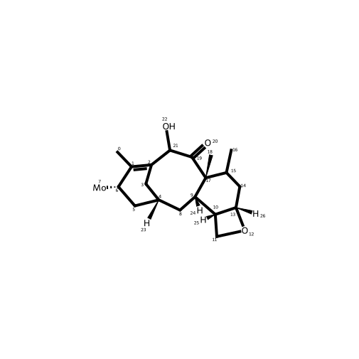 CC1=C2C[C@@H](C[C@@H]1[Mo])C[C@H]1[C@H]3CO[C@H]3CC(C)[C@@]1(C)C(=O)C2O